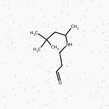 CC(CC(C)(C)C)NCCC=O